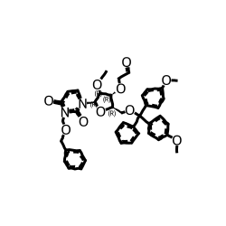 COc1ccc(C(OC[C@H]2O[C@@H](n3ccc(=O)n(COCc4ccccc4)c3=O)[C@H](OC)[C@@H]2OCC=O)(c2ccccc2)c2ccc(OC)cc2)cc1